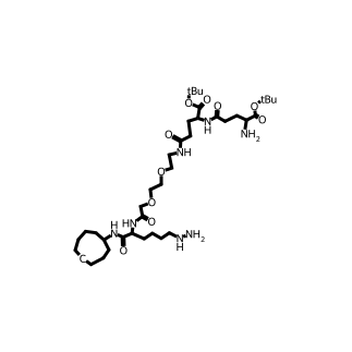 CC(C)(C)OC(=O)C(N)CCC(=O)NC(CCC(=O)NCCOCCOCC(=O)NC(CCCCNN)C(=O)NC1CCCCCCCC1)C(=O)OC(C)(C)C